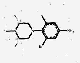 Cc1cc(N)cc(Br)c1N1C[C@@H](C)N(C)[C@@H](C)C1